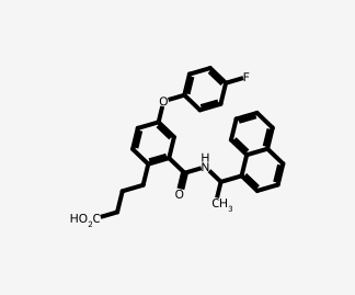 CC(NC(=O)c1cc(Oc2ccc(F)cc2)ccc1CCCC(=O)O)c1cccc2ccccc12